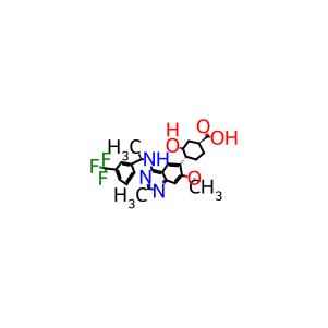 COc1cc2nc(C)nc(N[C@H](C)c3cccc(C(F)(F)F)c3)c2cc1[C@H]1CC[C@H](C(=O)O)CC1O